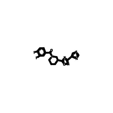 O=C(c1ccc(F)c(F)c1)N1CCCC(c2nc(-c3cscn3)no2)C1